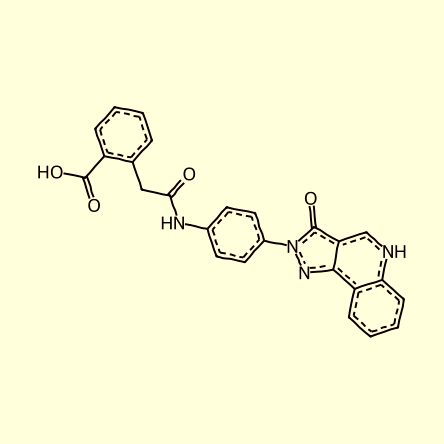 O=C(Cc1ccccc1C(=O)O)Nc1ccc(-n2nc3c4ccccc4[nH]cc-3c2=O)cc1